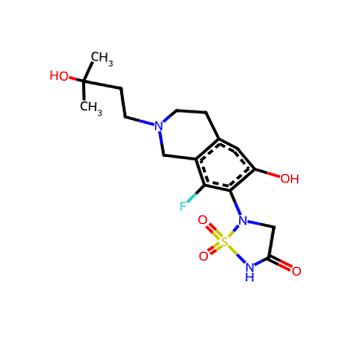 CC(C)(O)CCN1CCc2cc(O)c(N3CC(=O)NS3(=O)=O)c(F)c2C1